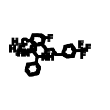 CNC(=O)C(N[C@H](CCc1ccc(C(F)(F)F)cc1)c1cc(C)ccc1F)c1ccccc1